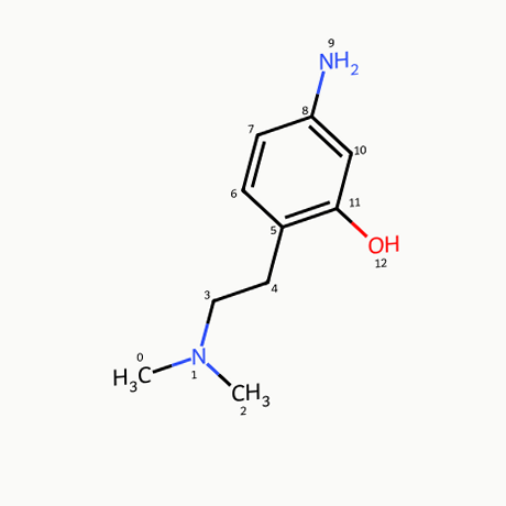 CN(C)CCc1ccc(N)cc1O